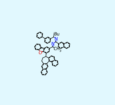 CCC(C)C(/N=C(\N=C(/C)c1cc(C2CCc3cc4ccccc4cc3-c3c2ccc2ccccc32)c2oc3ccccc3c2c1)c1ccc2ccccc2c1)c1cccc(-c2ccccc2)c1